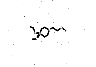 CCN=S1(=NC)CCN(CCOC)CC1